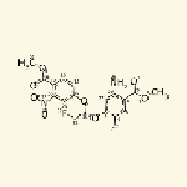 COC(=O)c1cc(F)c(OC(CF)Oc2ccc(C(=O)OC)c([N+](=O)[O-])c2)cc1N